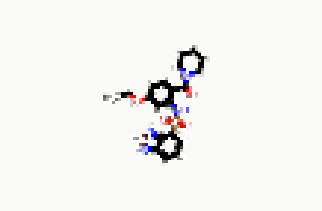 CCOc1ccc(C(=O)N2CCCCC2)c(NS(=O)(=O)c2cccc3nsnc23)c1